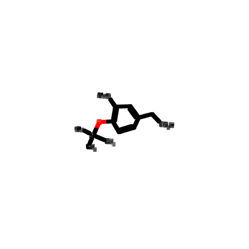 COc1cc(CC(=O)O)ccc1O[Si](C)(C)C(C)(C)C